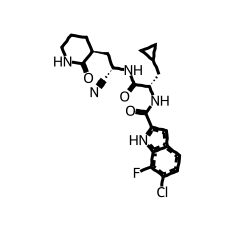 N#C[C@H](C[C@@H]1CCCNC1=O)NC(=O)[C@H](CC1CC1)NC(=O)c1cc2ccc(Cl)c(F)c2[nH]1